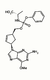 COc1nc(N)nc2c1ncn2[C@H]1C=C[C@@H](COP(=O)(N[C@@H](C)C(=O)O)Oc2ccccc2)C1